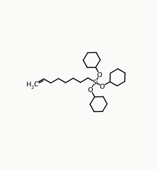 C=CCCCCCC[Si](OC1CCCCC1)(OC1CCCCC1)OC1CCCCC1